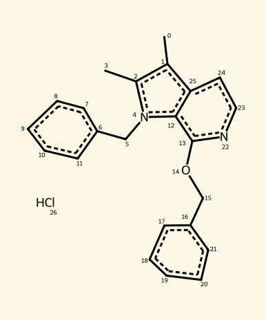 Cc1c(C)n(Cc2ccccc2)c2c(OCc3ccccc3)nccc12.Cl